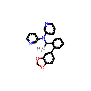 CC(c1ccccc1-c1ccc2c(c1)OCO2)N(c1cccnc1)c1cccnc1